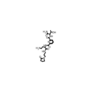 CC(O)C(NC(=O)c1cccc(C(=O)NC(CCN)C(=O)NCCCN2CCCC2=O)n1)C(N)=O